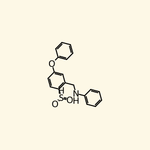 O=[SH](=O)c1ccc(Oc2ccccc2)cc1CNc1ccccc1